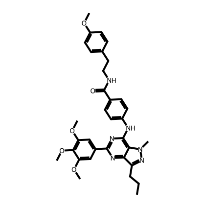 CCCc1nn(C)c2c(Nc3ccc(C(=O)NCCc4ccc(OC)cc4)cc3)nc(-c3cc(OC)c(OC)c(OC)c3)nc12